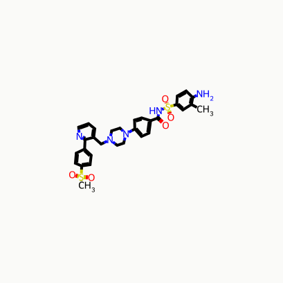 Cc1cc(S(=O)(=O)NC(=O)c2ccc(N3CCN(Cc4cccnc4-c4ccc(S(C)(=O)=O)cc4)CC3)cc2)ccc1N